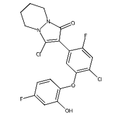 O=c1c(-c2cc(Oc3ccc(F)cc3O)c(Cl)cc2F)c(Cl)n2n1CCCC2